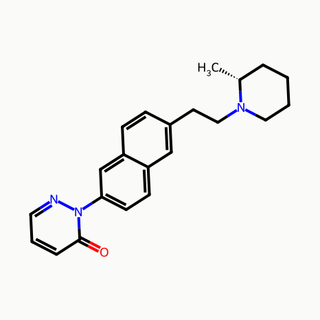 C[C@@H]1CCCCN1CCc1ccc2cc(-n3ncccc3=O)ccc2c1